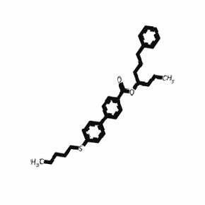 CCCCCSc1ccc(-c2ccc(C(=O)OC(CCC)CCCc3ccccc3)cc2)cc1